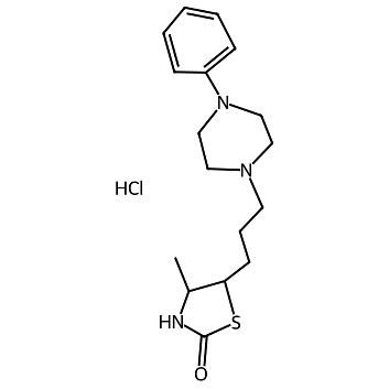 CC1NC(=O)SC1CCCN1CCN(c2ccccc2)CC1.Cl